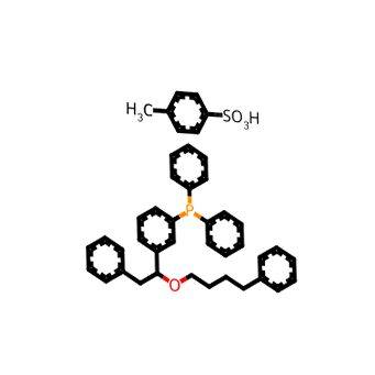 Cc1ccc(S(=O)(=O)O)cc1.c1ccc(CCCCOC(Cc2ccccc2)c2cccc(P(c3ccccc3)c3ccccc3)c2)cc1